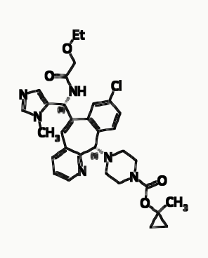 CCOCC(=O)N[C@H](C1=Cc2cccnc2[C@@H](N2CCN(C(=O)OC3(C)CC3)CC2)c2ccc(Cl)cc21)c1cncn1C